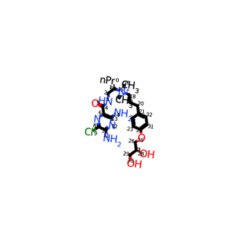 CCC[C@@H](CNC(=O)c1nc(Cl)c(N)nc1N)[N+](C)(C)CCCc1ccc(OC[C@@H](O)CO)cc1